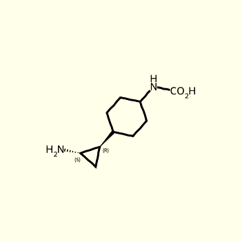 N[C@H]1C[C@@H]1C1CCC(NC(=O)O)CC1